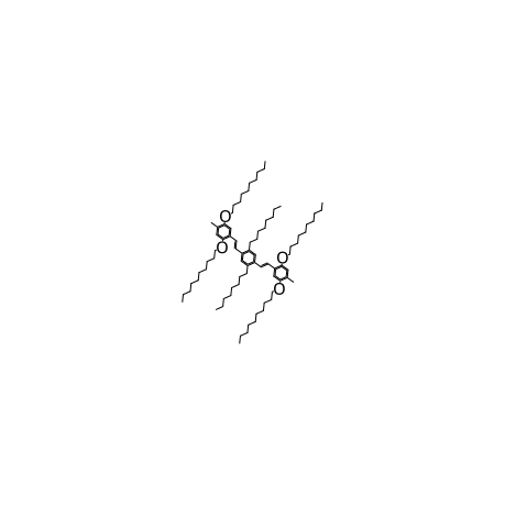 CCCCCCCCCCOc1cc(/C=C/c2cc(CCCCCCCC)c(/C=C/c3cc(OCCCCCCCCCC)c(C)cc3OCCCCCCCCCC)cc2CCCCCCCC)c(OCCCCCCCCCC)cc1C